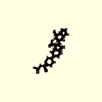 CNCC(=O)N1CCC(c2ccc3[nH]c(-c4cc(C)c5nccn5c4)c(C(C)C)c3c2)CC1